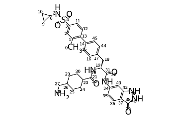 Cc1cc(S(=O)(=O)NC2CC2)ccc1-c1ccc(C[C@H](NC(=O)C2CCC(CN)CC2)C(=O)Nc2ccc3c(=O)[nH][nH]c3c2)cc1